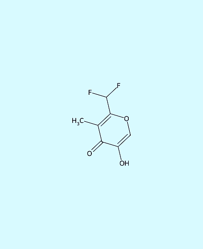 Cc1c(C(F)F)occ(O)c1=O